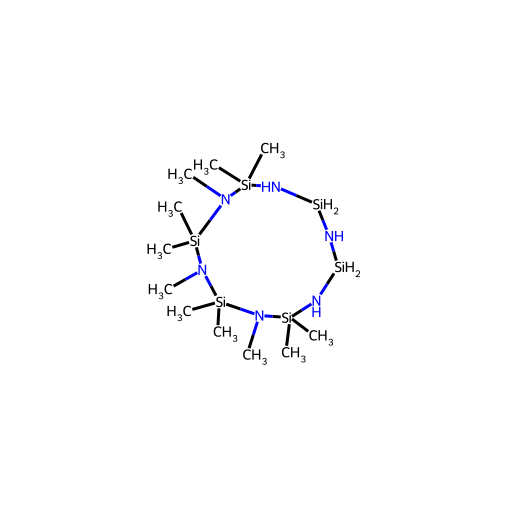 CN1[Si](C)(C)N[SiH2]N[SiH2]N[Si](C)(C)N(C)[Si](C)(C)N(C)[Si]1(C)C